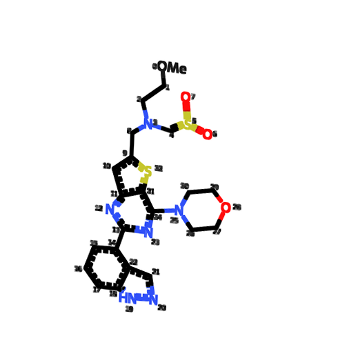 COCCN(C=S(=O)=O)Cc1cc2nc(-c3cccc4[nH]ncc34)nc(N3CCOCC3)c2s1